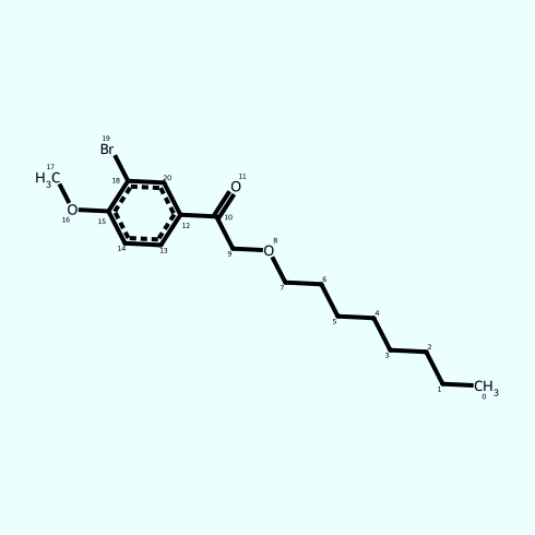 CCCCCCCCOCC(=O)c1ccc(OC)c(Br)c1